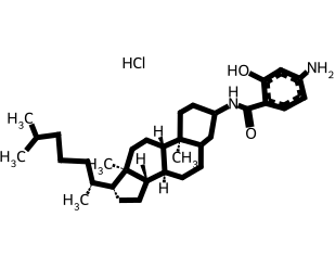 CC(C)CCC[C@@H](C)[C@H]1CC[C@H]2[C@@H]3CCC4CC(NC(=O)c5ccc(N)cc5O)CC[C@]4(C)[C@H]3CC[C@]12C.Cl